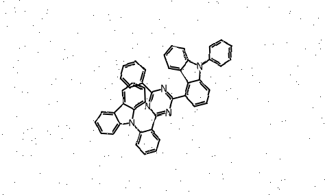 c1ccc(-c2nc(-c3ccccc3-n3c4ccccc4c4ccccc43)nc(-c3cccc4c3c3ccccc3n4-c3ccccc3)n2)cc1